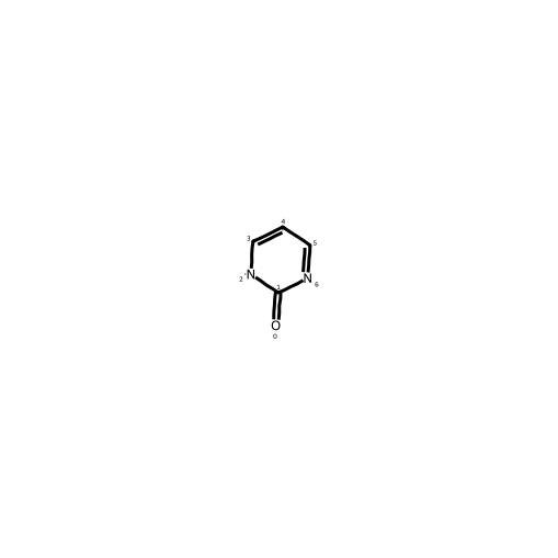 O=C1[N]C=[C]C=N1